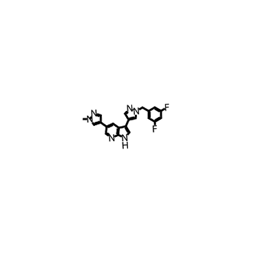 Cn1cc(-c2cnc3[nH]cc(-c4cnn(Cc5cc(F)cc(F)c5)c4)c3c2)cn1